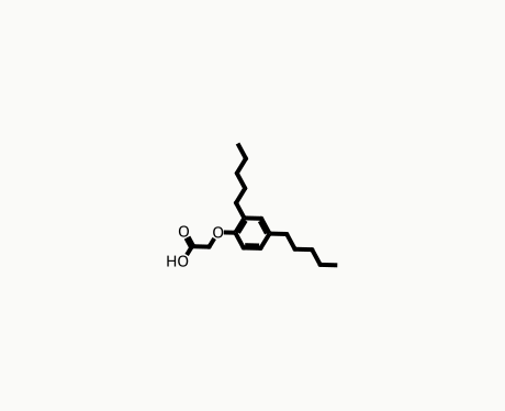 CCCCCc1ccc(OCC(=O)O)c(CCCCC)c1